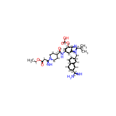 CCOC(=O)CC(=N)N1CCC(C(=O)Nc2cc(OC(=O)O)c3nc(C(C)C)n(Cc4ccc5ccc(C(=N)N)cc5c4)c3c2)CC1